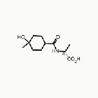 C[C@@H](NC(=O)C1CCC(C)(O)CC1)C(=O)O